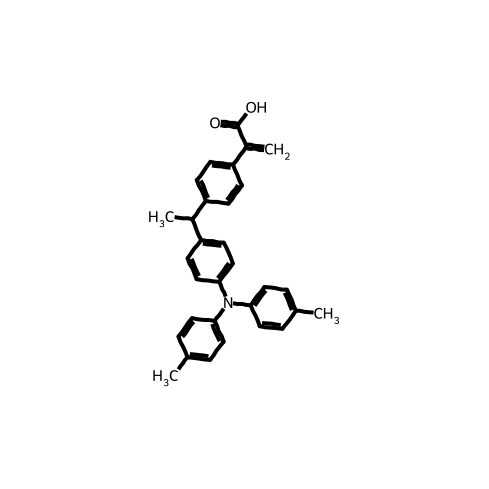 C=C(C(=O)O)c1ccc(C(C)c2ccc(N(c3ccc(C)cc3)c3ccc(C)cc3)cc2)cc1